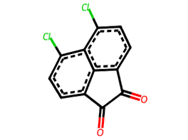 O=C1C(=O)c2ccc(Cl)c3c(Cl)ccc1c23